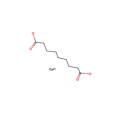 O=C([O-])CCCCCCCC(=O)[O-].[Cu+2]